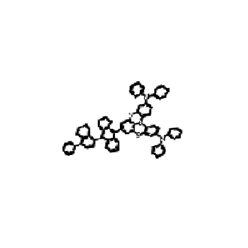 c1ccc(-c2ccc(-c3c4ccccc4c(-c4cc5c6c(c4)Sc4cc(N(c7ccccc7)c7ccccc7)ccc4B6c4ccc(N(c6ccccc6)c6ccccc6)cc4S5)c4ccccc34)c3ccccc23)cc1